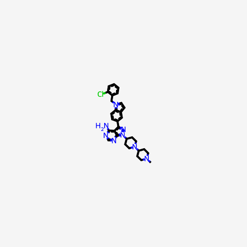 CN1CCC(N2CCC(n3nc(-c4ccc5c(ccn5Cc5ccccc5Cl)c4)c4c(N)ncnc43)CC2)CC1